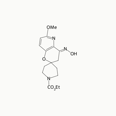 CCOC(=O)N1CCC2(CC1)CC(=NO)c1nc(OC)ccc1O2